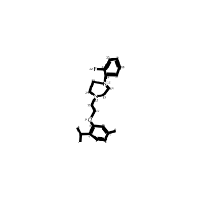 Cc1ccc(C(C)C)c(OCCN2CCN(c3ccccc3F)CC2)c1